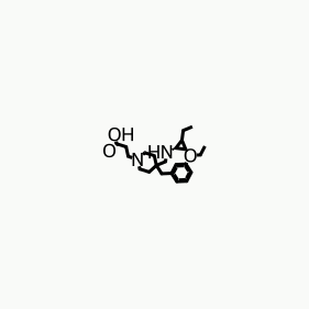 CCOc1cccc(CC2(CN[C@@H]3CC3CC)CCN(CCC(=O)O)CC2)c1